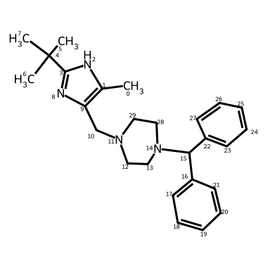 Cc1[nH]c(C(C)(C)C)nc1CN1CCN(C(c2ccccc2)c2ccccc2)CC1